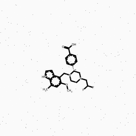 COc1cc(C)c2[nH]ccc2c1CN1CCN(CC(F)F)C[C@H]1c1ccc(C(=O)O)cc1